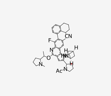 CC(=O)N1CCCC1c1cc2c(OC(C)C3CCCN3C)nc3c(F)c(-c4cccc5c4C(C#N)CCC5)c(C)cc3c2n1[C@H]1[C@H]2CN[C@@H]1C2